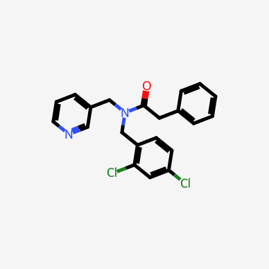 O=C(Cc1ccccc1)N(Cc1cccnc1)Cc1ccc(Cl)cc1Cl